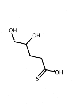 OCC(O)CCC(O)=S